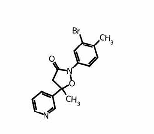 Cc1ccc(N2OC(C)(c3cccnc3)CC2=O)cc1Br